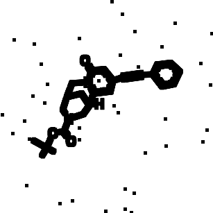 CC(C)(C)OC(=O)N1CC2C[C@@H](C1)c1cc(C#Cc3ccccc3)cc(=O)n1C2